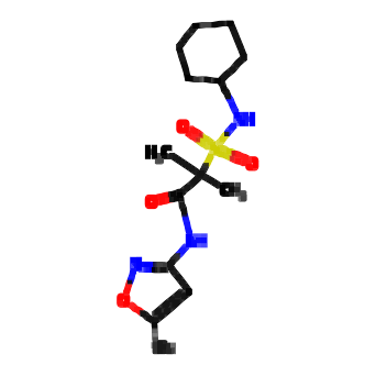 CC(C)(C)c1cc(NC(=O)C(C)(C)S(=O)(=O)NC2CCCCC2)no1